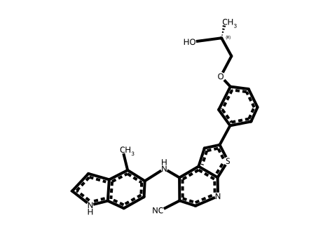 Cc1c(Nc2c(C#N)cnc3sc(-c4cccc(OC[C@@H](C)O)c4)cc23)ccc2[nH]ccc12